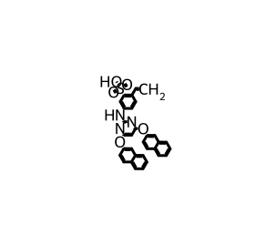 C=Cc1ccc(Nc2nc(Oc3ccc4ccccc4c3)cc(Oc3ccc4ccccc4c3)n2)cc1S(=O)(=O)O